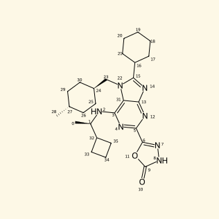 C[C@@H](Nc1nc(-c2n[nH]c(=O)o2)nc2nc(C3CCCCC3)n(C[C@H]3CC[C@H](C)CC3)c12)C1CCC1